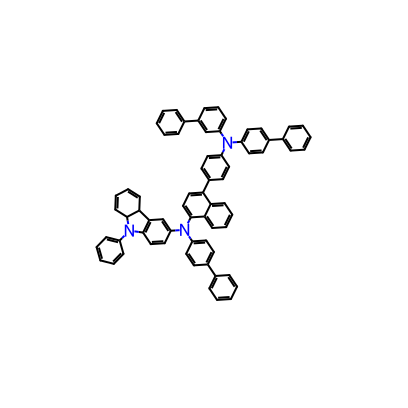 C1=CC2c3cc(N(c4ccc(-c5ccccc5)cc4)c4ccc(-c5ccc(N(c6ccc(-c7ccccc7)cc6)c6cccc(-c7ccccc7)c6)cc5)c5ccccc45)ccc3N(c3ccccc3)C2C=C1